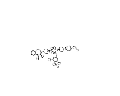 Cc1c(Cl)cc(C[C@@H](OC(=O)N2CCC(N3CCc4ccccc4NC3=O)CC2)C(=O)N2CCC(N3CCN(C)CC3)CC2)cc1Cl